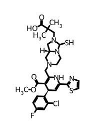 COC(=O)C1=C(CN2CCN3C(S)N(CC(C)(C)C(=O)O)C[C@H]3C2)NC(c2nccs2)=C[C@H]1c1ccc(F)cc1Cl